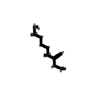 CBCCCNC(=O)OC(C)(C)C